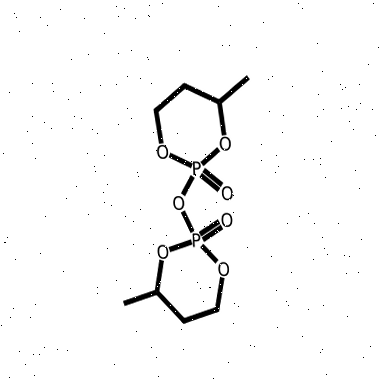 CC1CCOP(=O)(OP2(=O)OCCC(C)O2)O1